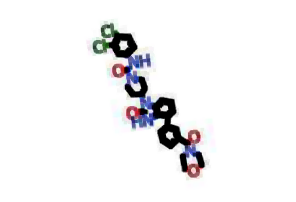 O=C(Nc1ccc(Cl)c(Cl)c1)N1CCC(n2c(=O)[nH]c3c(-c4cccc(C(=O)N5CCOCC5)c4)cccc32)CC1